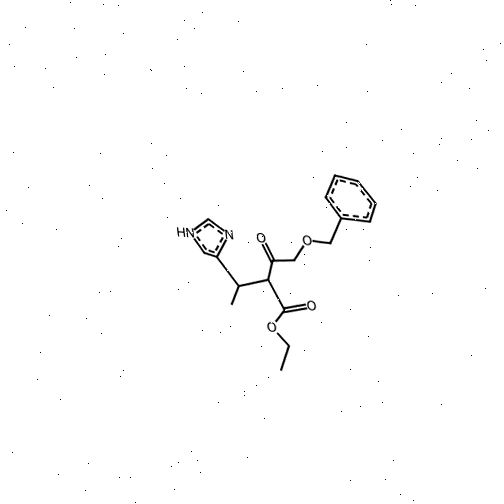 CCOC(=O)C(C(=O)COCc1ccccc1)C(C)c1c[nH]cn1